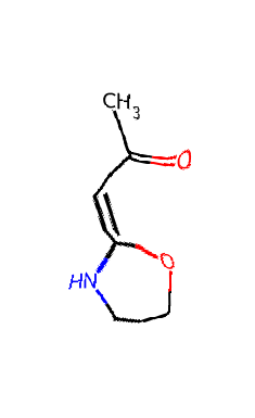 CC(=O)C=C1NCCO1